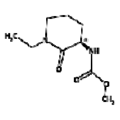 CCN1CCC[C@@H](NC(=O)OC)C1=O